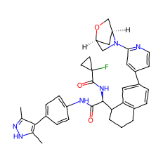 Cc1n[nH]c(C)c1-c1ccc(NC(=O)[C@@H](NC(=O)C2(F)CC2)C2CCCc3ccc(-c4ccnc(N5C[C@@H]6C[C@H]5CO6)c4)cc32)cc1